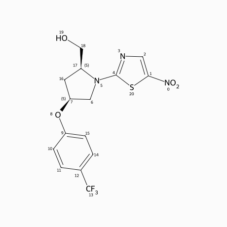 O=[N+]([O-])c1cnc(N2C[C@@H](Oc3ccc(C(F)(F)F)cc3)C[C@H]2CO)s1